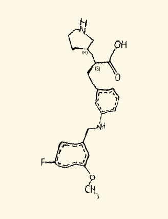 COc1cc(F)cc(CNc2cccc(C[C@H](C(=O)O)[C@H]3CCNC3)c2)c1